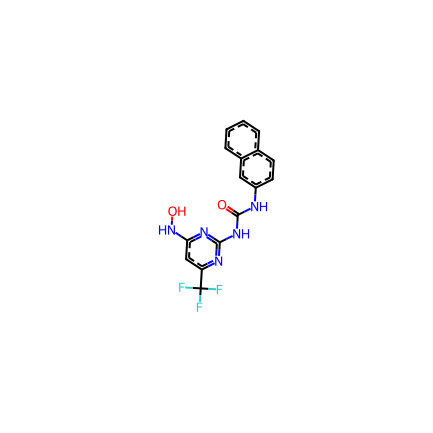 O=C(Nc1ccc2ccccc2c1)Nc1nc(NO)cc(C(F)(F)F)n1